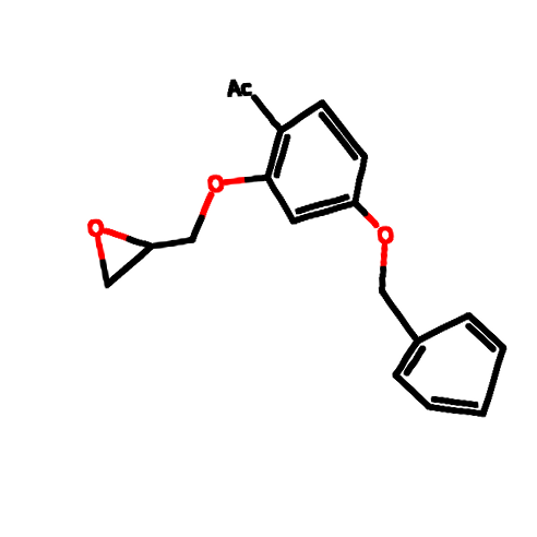 CC(=O)c1ccc(OCc2ccccc2)cc1OCC1CO1